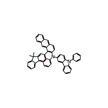 CC1(C)c2ccccc2-c2ccc(-c3c(N(c4ccccc4)c4ccc5c(c4)c4ccccc4n5-c4ccccc4)ccc4cc5ccccc5cc34)cc21